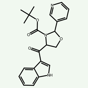 CC(C)(C)OC(=O)N1C(C(=O)c2c[nH]c3ccccc23)COC1c1cccnc1